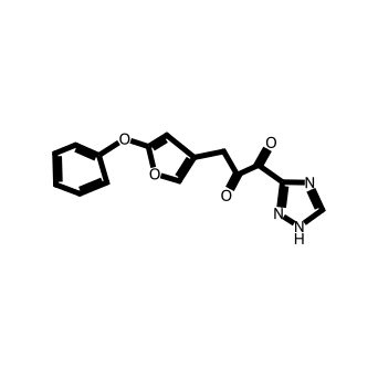 O=C(Cc1coc(Oc2ccccc2)c1)C(=O)c1nc[nH]n1